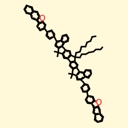 CCCCCCCCC1(CCCCCCCC)c2cc3c(cc2-c2cc4c(cc21)-c1c(cc(-c2ccc(-c5ccc6c(c5)oc5cc7ccccc7cc56)cc2)c2ccccc12)C4(C)C)C(C)(C)c1cc(-c2ccc(-c4ccc5c(c4)oc4cc6ccccc6cc45)cc2)c2ccccc2c1-3